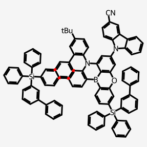 CC(C)(C)c1ccc(N2c3cc(-c4ccc([Si](c5ccccc5)(c5ccccc5)c5cccc(-c6ccccc6)c5)cc4)ccc3B3c4ccc([Si](c5ccccc5)(c5ccccc5)c5cccc(-c6ccccc6)c5)cc4Oc4cc(-n5c6ccccc6c6cc(C#N)ccc65)cc2c43)c(-c2ccccc2)c1